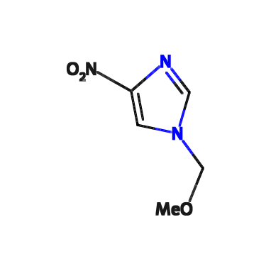 COCn1cnc([N+](=O)[O-])c1